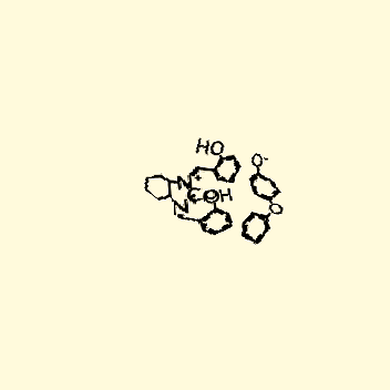 Oc1ccccc1C=[N+]1[Co][N+](=Cc2ccccc2O)C2CCCCC21.[O-]c1ccc(Oc2ccccc2)cc1